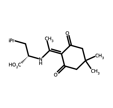 CC(N[C@@H](CC(C)C)C(=O)O)=C1C(=O)CC(C)(C)CC1=O